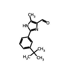 Cc1[nH]c(-c2cccc(C(C)(C)C)c2)nc1C=O